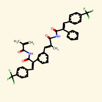 C=C(C)C(=O)NC(=O)/C(=C\c1ccc(C(F)(F)F)cc1)c1cccc(/C=C(\C)C(=O)NC(=O)/C(=C/c2ccc(C(F)(F)F)cc2)c2ccccc2)c1